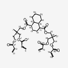 C=CC(=O)OCC(C)(COC(=O)C=C)COC(=O)C1CCC(C(=O)OCC(C)(COC(=O)C=C)COC(=O)C=C)C2CCCCC12